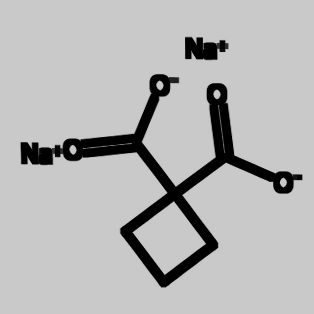 O=C([O-])C1(C(=O)[O-])CCC1.[Na+].[Na+]